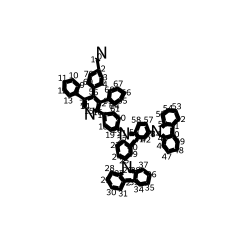 N#Cc1ccc(-c2c(-c3ccccc3)cnc(-c3ccc(-n4c5ccc(-n6c7ccccc7c7ccccc76)cc5c5cc(-n6c7ccccc7c7ccccc76)ccc54)cc3)c2-c2ccccc2)cc1